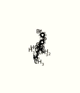 Cn1cnc(CSC(C)(C)[C@H](C(N)=O)N(O)S(=O)(=O)c2ccc(Oc3ccc(Br)cc3)cc2)c1